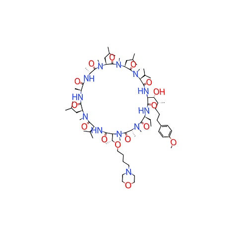 CC[C@@H]1NC(=O)[C@H]([C@H](O)[C@H](C)CCCc2ccc(OC)cc2)NC(=O)[C@H](C(C)C)N(C)C(=O)[C@H](CC(C)C)N(C)C(=O)[C@H](CC(C)C)N(C)C(=O)[C@@H](C)NC(=O)[C@H](C)NC(=O)[C@H](CC(C)C)N(C)C(=O)[C@H](C(C)C)NC(=O)[C@H]([C@@H](C)OCCCCN2CCOCC2)N(C)C(=O)[C@@H](C)N(C)C1=O